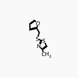 Cc1csc(SCc2ccco2)n1